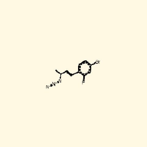 CC(/C=C/c1ccc(Br)cc1F)N=[N+]=[N-]